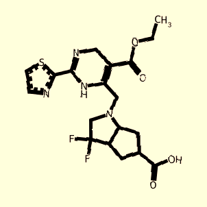 CCOC(=O)C1=C(CN2CC(F)(F)C3CC(C(=O)O)CC32)NC(c2nccs2)=NC1